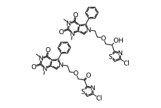 Cn1c(=O)c2c(-c3ccccc3)n(CCOCC(=O)c3nc(Cl)cs3)cc2n(C)c1=O.Cn1c(=O)c2c(-c3ccccc3)n(CCOCC(O)c3nc(Cl)cs3)cc2n(C)c1=O